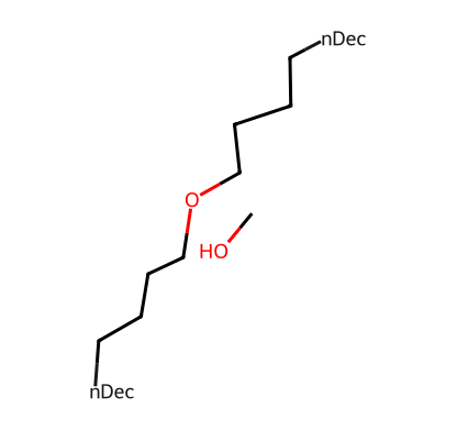 CCCCCCCCCCCCCCOCCCCCCCCCCCCCC.CO